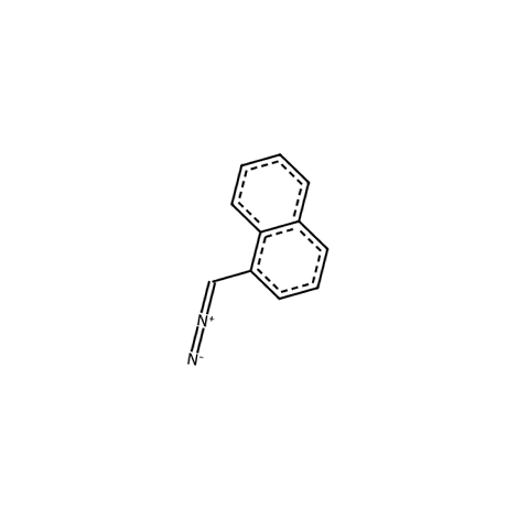 [N-]=[N+]=Cc1cccc2ccccc12